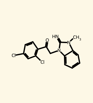 Cn1c(=N)n(CC(=O)c2ccc(Cl)cc2Cl)c2ccccc21